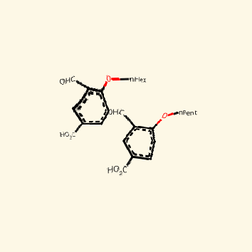 CCCCCCOc1ccc(C(=O)O)cc1C=O.CCCCCOc1ccc(C(=O)O)cc1C=O